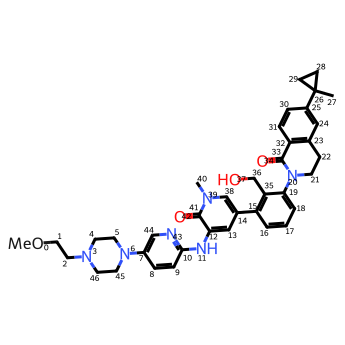 COCCN1CCN(c2ccc(Nc3cc(-c4cccc(N5CCc6cc(C7(C)CC7)ccc6C5=O)c4CO)cn(C)c3=O)nc2)CC1